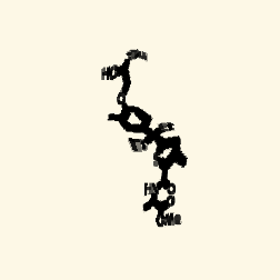 CCC(CC)(c1ccc(OCC(O)C(C)(C)C)c(C)c1)c1cc(C)c(C(=O)NC(C)C(=O)OC)s1